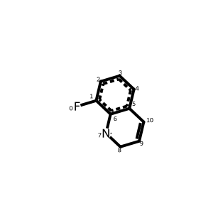 Fc1cccc2c1[N]CC=C2